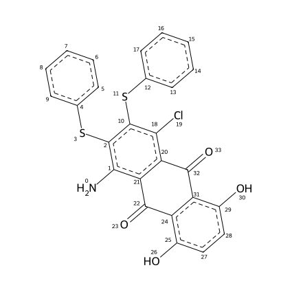 Nc1c(Sc2ccccc2)c(Sc2ccccc2)c(Cl)c2c1C(=O)c1c(O)ccc(O)c1C2=O